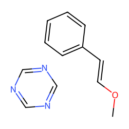 COC=Cc1ccccc1.c1ncncn1